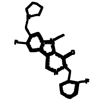 Cn1c2cc(CN3CCCC3)c(F)cc2c2cnn(Cc3ccccc3F)c(=O)c21